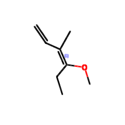 C=C/C(C)=C(\CC)OC